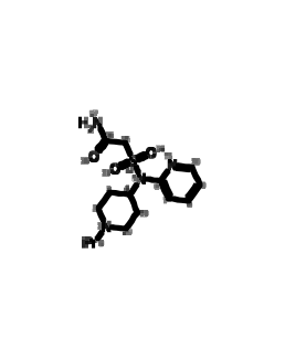 CC(C)N1CCC(N(c2ccccn2)S(=O)(=O)CC(N)=O)CC1